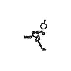 COC(=O)c1sc(C#CC(C)C)cc1NC(=O)[C@H]1CC[C@H](C)CC1